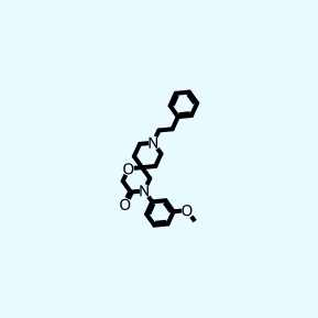 COc1cccc(N2CC3(CCN(CCc4ccccc4)CC3)OCC2=O)c1